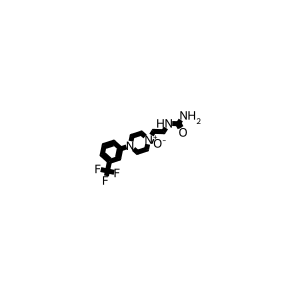 NC(=O)NCC[N+]1([O-])CCN(c2cccc(C(F)(F)F)c2)CC1